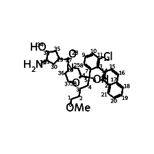 COCCCC[C@@](O)(c1cccc(Cl)c1-c1ccc2ccccc2c1)C1CN(C(=O)[C@H]2C[C@@H](N)[C@@H](O)C2)CCO1